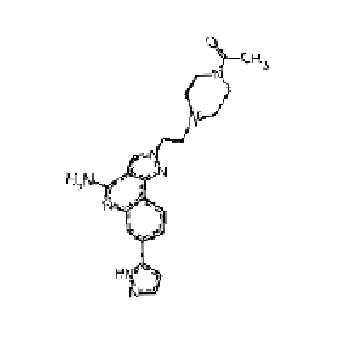 CC(=O)N1CCN(CCn2cc3c(N)nc4cc(-c5ccn[nH]5)ccc4c3n2)CC1